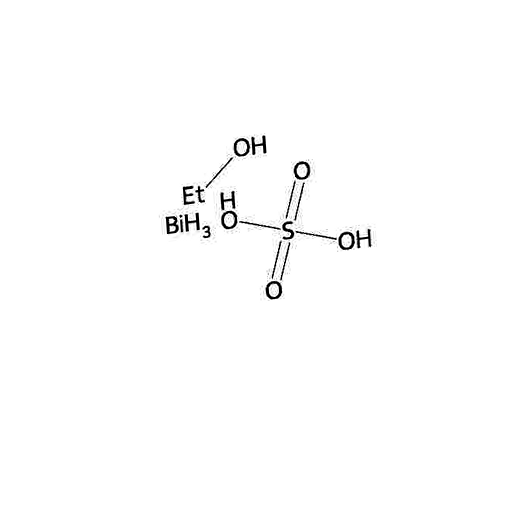 CCO.O=S(=O)(O)O.[BiH3]